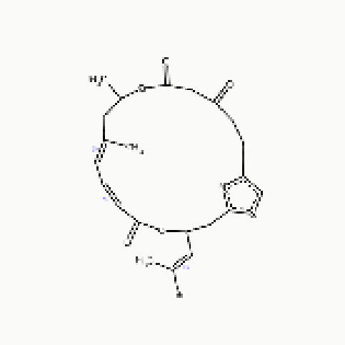 C/C(Br)=C\C1Cc2nc(cs2)CCC(=O)CC(=O)OC(C)C/C(C)=C/C=C\C(=O)O1